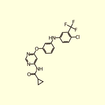 O=C(Nc1cc(Oc2cccc(Nc3ccc(Cl)c(C(F)(F)F)c3)c2)ncn1)C1CC1